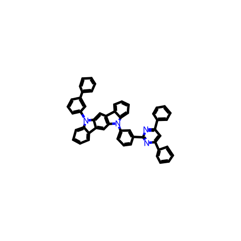 c1ccc(-c2cccc(-n3c4ccccc4c4cc5c(cc43)c3ccccc3n5-c3cccc(-c4nc(-c5ccccc5)cc(-c5ccccc5)n4)c3)c2)cc1